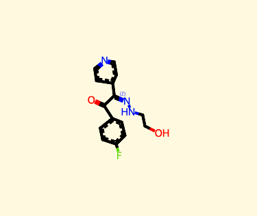 O=C(/C(=N\NCCO)c1ccncc1)c1ccc(F)cc1